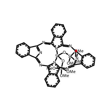 CO[Si](OC)(OC)O[Si]1(O[Si](OC)(OC)OC)n2c3c4ccccc4c2/N=C2N=C(/N=c4/c5ccccc5/c(n41)=N/C1=NC(=N\3)/c3ccccc31)c1ccccc1\2